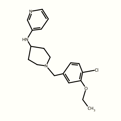 CCOc1cc(CN2CCC(Nc3cccnc3)CC2)ccc1Cl